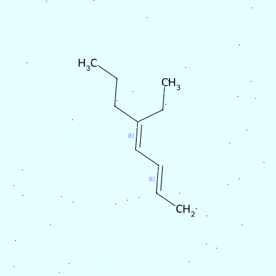 [CH2]/C=C/C=C(\CC)CCC